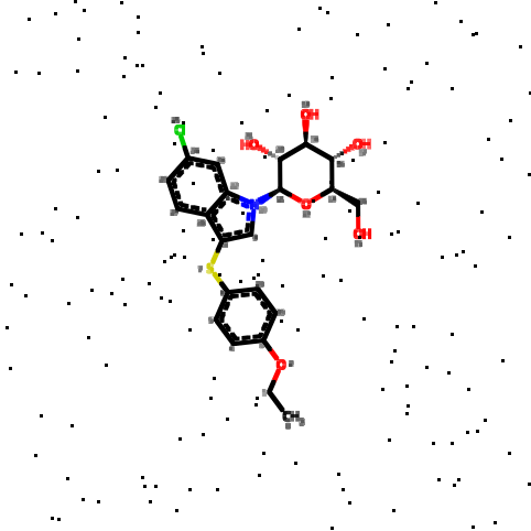 CCOc1ccc(Sc2cn([C@@H]3O[C@H](CO)[C@@H](O)[C@H](O)[C@H]3O)c3cc(Cl)ccc23)cc1